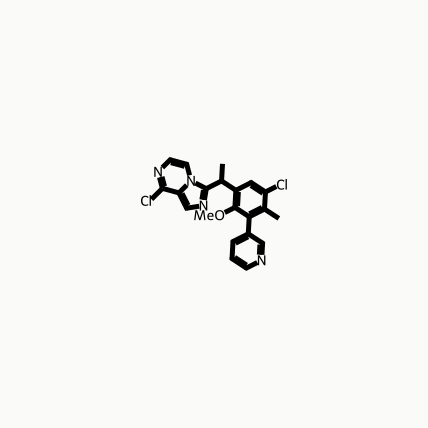 COc1c(C(C)c2ncc3c(Cl)nccn23)cc(Cl)c(C)c1-c1cccnc1